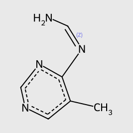 Cc1cncnc1/N=C\N